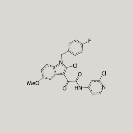 COc1ccc2c(c1)c(C(=O)C(=O)Nc1ccnc(Cl)c1)c(Cl)n2Cc1ccc(F)cc1